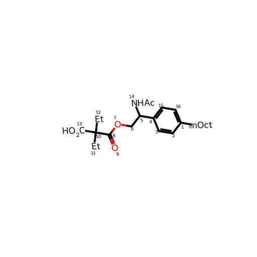 CCCCCCCCc1ccc(C(COC(=O)C(CC)(CC)C(=O)O)NC(C)=O)cc1